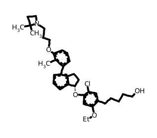 CCOc1cc(O[C@H]2CCc3c(-c4cccc(OCCCN5CCC5(C)C)c4C)cccc32)c(Cl)cc1CCCCCO